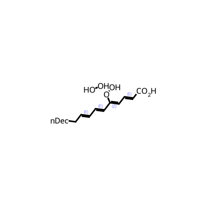 CCCCCCCCCCC/C=C/C=C/C(=C/C=C/C(=O)O)OO.OO